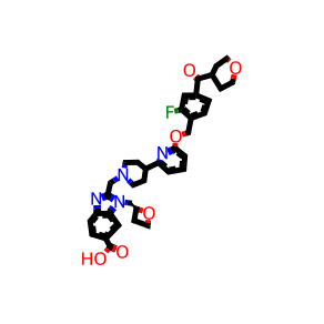 O=C(O)c1ccc2nc(CN3CCC(c4cccc(OCc5ccc(C(=O)C6CCOCC6)cc5F)n4)CC3)n(C[C@@H]3CCO3)c2c1